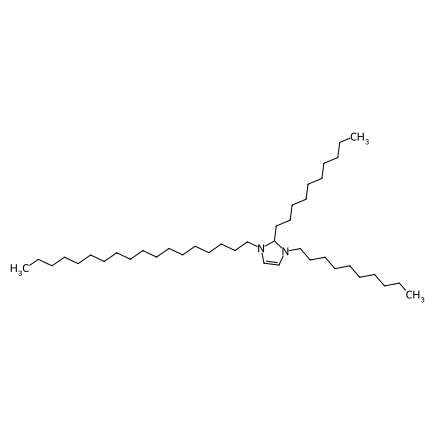 CCCCCCCCCCCCCCCCCCN1C=CN(CCCCCCCCCC)C1CCCCCCCCCC